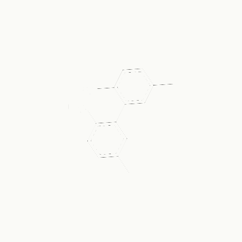 Cc1ccc(C(=O)O)c(-c2cc(C)ccc2C(=O)O)c1